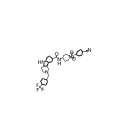 N#Cc1ccc(S(=O)(=O)N2CCC(NC(=O)c3ccc4[nH]c5c(c4c3)CN(Cc3ccc(C(F)(F)F)cc3)CC5)CC2)cc1